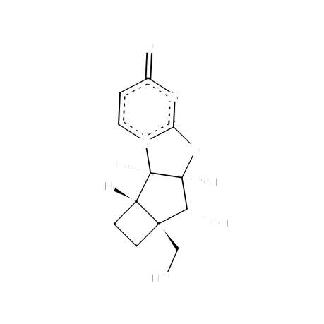 O=c1ccn2c(n1)O[C@@H]1[C@H]2[C@H]2CC[C@@]2(CO)[C@H]1O